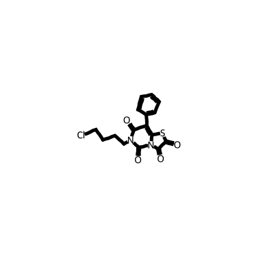 O=C1Sc2c(-c3ccccc3)c(=O)n(CCCCCl)c(=O)n2C1=O